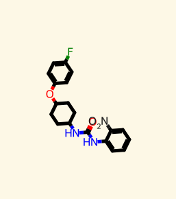 O=C(Nc1ccccc1[N+](=O)[O-])NC1CCC(Oc2ccc(F)cc2)CC1